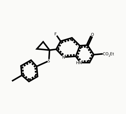 CCOC(=O)c1c[nH]c2nc(C3(Sc4ccc(C)cc4)CC3)c(F)cc2c1=O